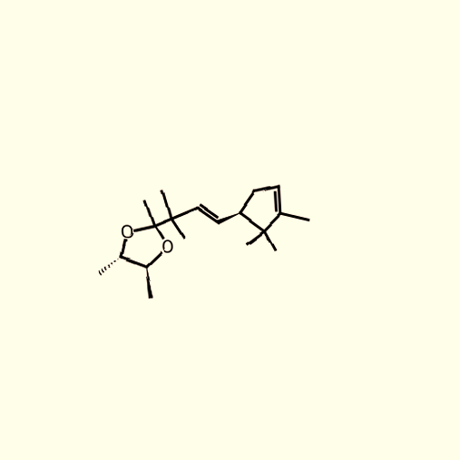 CC1=CC[C@H](/C=C/C(C)(C)C2(C)O[C@@H](C)[C@H](C)O2)C1(C)C